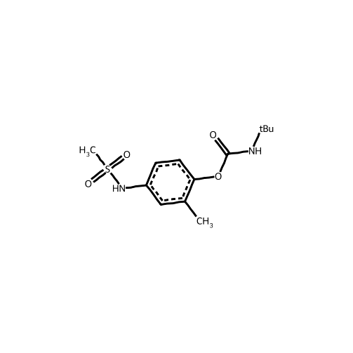 Cc1cc(NS(C)(=O)=O)ccc1OC(=O)NC(C)(C)C